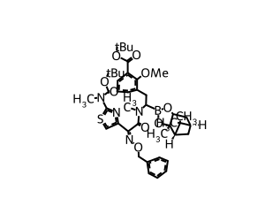 COc1c(CC(B2OC3C[C@H]4C[C@@H](C4(C)C)[C@]3(C)O2)N(C)C(=O)/C(=N\OCc2ccccc2)c2csc(N(C)C(=O)OC(C)(C)C)n2)cccc1C(=O)OC(C)(C)C